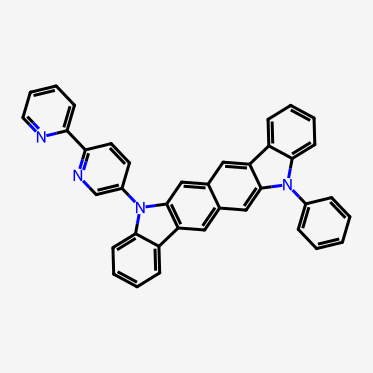 c1ccc(-n2c3ccccc3c3cc4cc5c(cc4cc32)c2ccccc2n5-c2ccc(-c3ccccn3)nc2)cc1